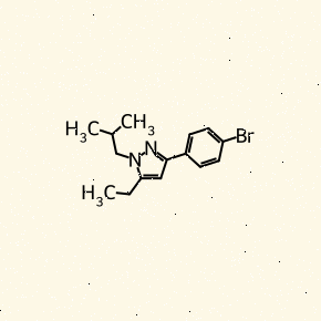 CCc1cc(-c2ccc(Br)cc2)nn1CC(C)C